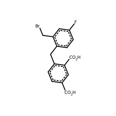 O=C(O)c1ccc(Cc2ccc(F)cc2CBr)c(C(=O)O)c1